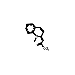 CN1C(=CC(=O)C(Cl)(Cl)Cl)C=Cc2ccccc21